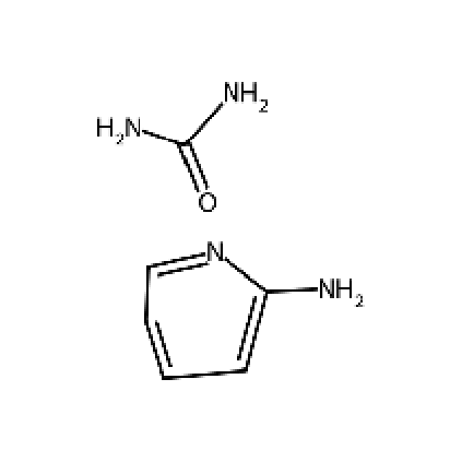 NC(N)=O.Nc1ccccn1